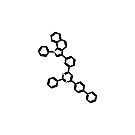 c1ccc(-c2ccc(-c3cc(-c4cccc(-c5cn(-c6ccccc6)c6c5ccc5ccccc56)c4)nc(-c4ccccc4)n3)cc2)cc1